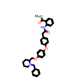 COC(=O)c1ccccc1NC(=O)Cc1ccc(Oc2ccc(OCC3CCCCN3Cc3ccccc3)cc2)cc1